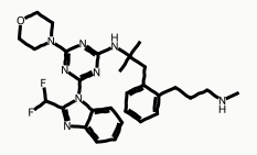 CNCCCc1ccccc1CC(C)(C)Nc1nc(N2CCOCC2)nc(-n2c(C(F)F)nc3ccccc32)n1